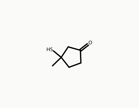 CC1(S)CCC(=O)C1